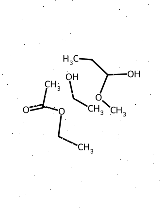 CCC(O)OC.CCO.CCOC(C)=O